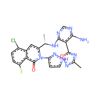 Cc1noc(-c2c(N)ncnc2N[C@@H](C)c2cc3c(Cl)ccc(F)c3c(=O)n2-c2cc[nH]n2)n1